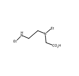 CCNCCN(CC)CC(=O)O